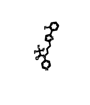 O=C(N(CCCc1ccc(-c2ccccc2F)s1)c1ccncc1)C(F)(F)F